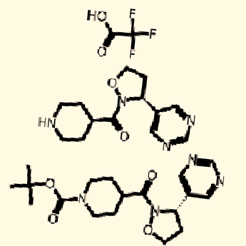 CC(C)(C)OC(=O)N1CCC(C(=O)N2OCC[C@H]2c2cncnc2)CC1.O=C(C1CCNCC1)N1OCC[C@H]1c1cncnc1.O=C(O)C(F)(F)F